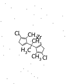 CC1=C(Cl)CC=C1C(C)(C)C1=CCC(Cl)=C1C.[Zr]